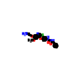 COc1cc2c(Oc3ccc(NC(=O)NC(=O)Cc4ccccc4)cc3F)ccnc2cc1OCCCN